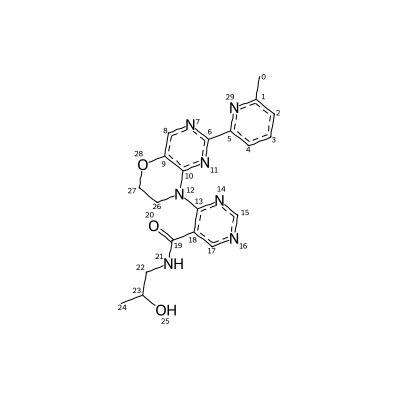 Cc1cccc(-c2ncc3c(n2)N(c2ncncc2C(=O)NCC(C)O)CCO3)n1